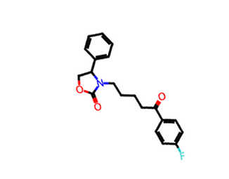 O=C(CCCCN1C(=O)OCC1c1ccccc1)c1ccc(F)cc1